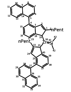 CCCCCC1=Cc2c(-c3cccc4ccccc34)cccc2[CH]1[Zr]([CH]1C(CCCCC)=Cc2c(-c3cccc4ccccc34)cccc21)=[Si](C)C